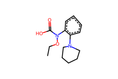 CCON(C(=O)O)c1ccccc1N1CCCCC1